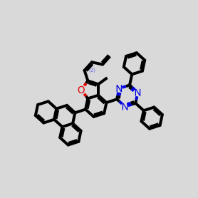 C=C/C=C\c1oc2c(-c3cc4c(c5ccccc35)C=CCC4)ccc(-c3nc(-c4ccccc4)nc(C4C=CC=CC4)n3)c2c1C